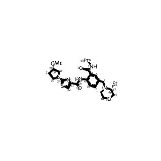 CCCNC(=O)c1cc(CN2CCOC[C@H]2CC)ccc1NC(=O)c1csc(N2CC[C@H](OC)C2)n1